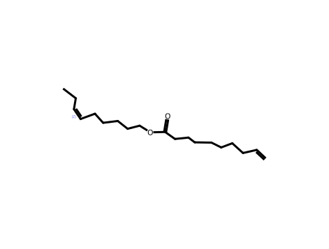 C=CCCCCCCCC(=O)OCCCCC/C=C\CC